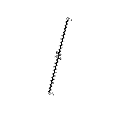 CCCCCCCCCCCCCCCCCCCCC(=S)NNC(=S)CCCCCCCCCCCCCCCCCCCC